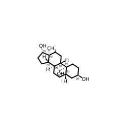 C[C@]12CC[C@H]3[C@@H](CC[C@H]4C[C@H](O)CC[C@@]43CO)[C@@H]1CC[C@@H]2O